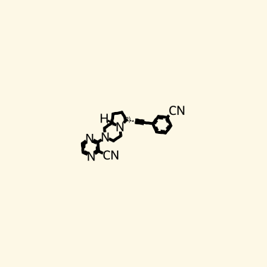 N#Cc1cccc(C#C[C@H]2CC[C@H]3CN(c4nccnc4C#N)CCN32)c1